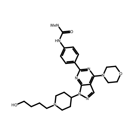 CNC(=O)Nc1ccc(-c2nc(N3CCOCC3)c3cnn(C4CCN(CCCCO)CC4)c3n2)cc1